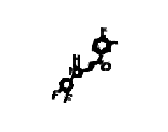 Cc1cc(C(=O)/C=C/c2cc(-c3ccc(F)c(F)c3)n[nH]2)ccc1F